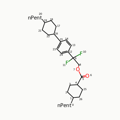 CCCCCC1CCC(C(=O)OCC(F)(F)c2ccc(C3CCC(CCCCC)CC3)cc2)CC1